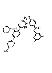 CN1CCN(c2ccc(C(=O)NC(=N)c3cc([S+]([O-])Cc4cc(F)cc(F)c4)cnc3N)c(NC3CCOCC3)c2)CC1